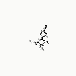 C/N=C(\C=C(/C)c1ccc(C#N)cc1)C(C)=O